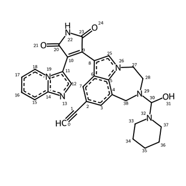 C#Cc1cc2c3c(c1)c(C1=C(c4cnc5ccccn45)C(=O)NC1=O)cn3CCN(C(O)N1CCCCC1)C2